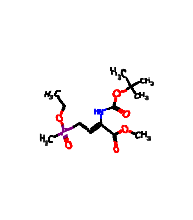 CCOP(C)(=O)CC=C(NC(=O)OC(C)(C)C)C(=O)OC